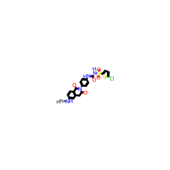 CCCNc1ccc2c(c1)CC(=O)N(c1ccc(NC(=O)NS(=O)(=O)c3ccc(Cl)s3)cc1)C2=O